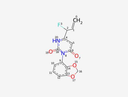 C=CC(F)c1cc(=O)n(-c2cccc3c2OCO3)c(=O)[nH]1